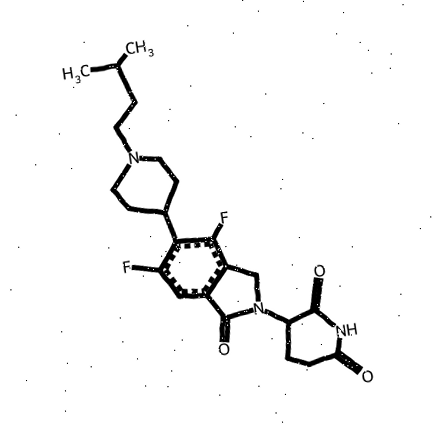 CC(C)CCN1CCC(c2c(F)cc3c(c2F)CN(C2CCC(=O)NC2=O)C3=O)CC1